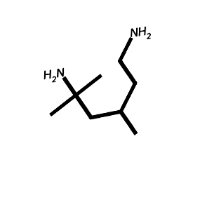 CC(CCN)CC(C)(C)N